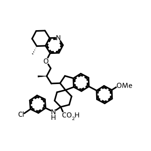 COc1cccc(-c2ccc3c(c2)C2(CCC(Nc4cccc(Cl)c4)(C(=O)O)CC2)C(C[C@@H](C)COc2ccnc4c2[C@H](C)CCC4)C3)c1